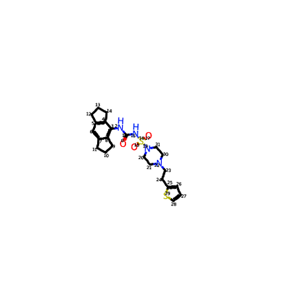 O=C(Nc1c2c(cc3c1CCC3)CCC2)NS(=O)(=O)N1CCN(CCc2cccs2)CC1